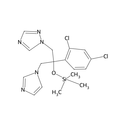 C[Si](C)(C)OC(Cn1ccnc1)(Cn1cncn1)c1ccc(Cl)cc1Cl